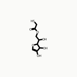 O=C(CS)OCC(O)C1OC=C(O)C1O